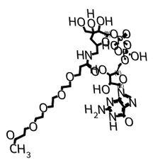 CC(=O)CCOCCOCCOCCOCCC(=O)NCC1CC(O)(CO)C(O)[C@@H](OP(=O)(O)OP(=O)(O)OC[C@H]2O[C@@H](n3cnc4c(=O)[nH]c(N)nc43)C(O)C2O)O1